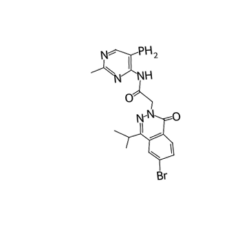 Cc1ncc(P)c(NC(=O)Cn2nc(C(C)C)c3cc(Br)ccc3c2=O)n1